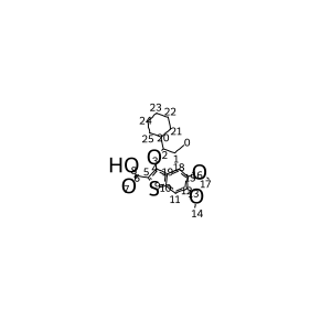 CCC(Oc1c(C(=O)O)sc2cc(OC)c(OC)cc12)C1CCCCC1